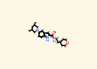 CC1CC(C)CN(c2ccc3[nH]c(C(=O)NCCC4CCOCC4)cc3c2)C1